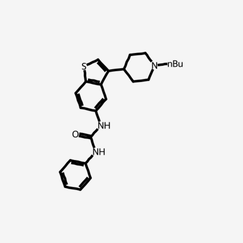 CCCCN1CCC(c2csc3ccc(NC(=O)Nc4ccccc4)cc23)CC1